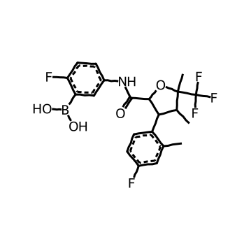 Cc1cc(F)ccc1C1C(C(=O)Nc2ccc(F)c(B(O)O)c2)OC(C)(C(F)(F)F)C1C